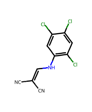 N#CC(C#N)=CNc1cc(Cl)c(Cl)cc1Cl